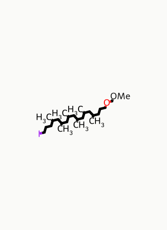 COCOCCCC(C)CC(C)CC(C)CC(C)CC(C)CC(C)CCCI